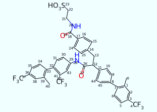 Cc1cc(C(F)(F)F)ccc1-c1ccc(C(Cc2ccc(C(=O)NCCS(=O)(=O)O)cc2)C(=O)Nc2ccc(-c3ccc(C(F)(F)F)cc3C)c(C(F)(F)F)c2)cc1